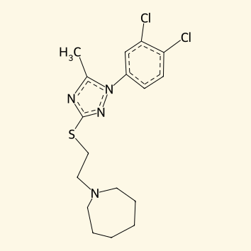 Cc1nc(SCCN2CCCCCC2)nn1-c1ccc(Cl)c(Cl)c1